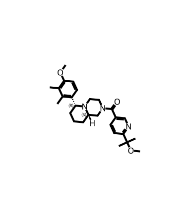 COc1ccc([C@H]2CCC[C@H]3CN(C(=O)c4ccc(C(C)(C)OC)nc4)CCN32)c(C)c1C